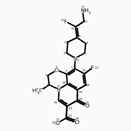 CC1COc2c(N3CCC(=C(F)CN)CC3)c(F)cc3c(=O)c(C(=O)O)cn1c23